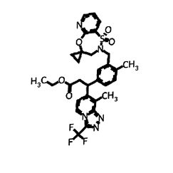 CCOC(=O)CC(c1ccc(C)c(CN2CC3(CC3)Oc3ncccc3S2(=O)=O)c1)c1ccn2c(C(F)(F)F)nnc2c1C